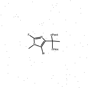 CCCCCCC(C)(CCCCC)c1nc(F)n(C)c1Br